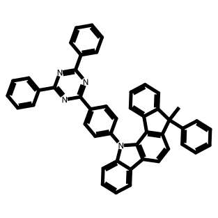 CC1(c2ccccc2)c2ccccc2-c2c1ccc1c3ccccc3n(-c3ccc(-c4nc(-c5ccccc5)nc(-c5ccccc5)n4)cc3)c21